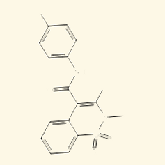 CN1C(O)=C(C(=O)Nc2ccc(Br)cc2)c2ccccc2S1(=O)=O